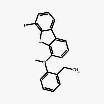 CCc1ccccc1N(I)c1cccc2c1oc1c(F)cccc12